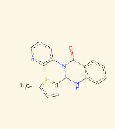 Cc1ccc(C2Nc3ccccc3C(=O)N2c2cccnc2)s1